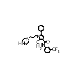 Cc1c(C(=O)Nc2cccc(C(F)(F)F)c2)cc(-c2ccccc2)n1CCCN1CCNCC1